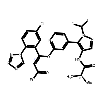 CCCC[C@@H](C)C(=O)Nc1cnn(C(F)F)c1-c1ccnc(O/C(=C\C(=O)CC)c2cc(Cl)ccc2-n2cnnn2)c1